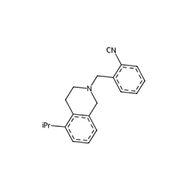 [C-]#[N+]c1ccccc1CN1CCc2c(cccc2C(C)C)C1